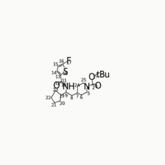 CC(C)(C)OC(=O)N1CCC(CC(NC(=O)c2ccc(F)s2)C2CCCC2)CC1